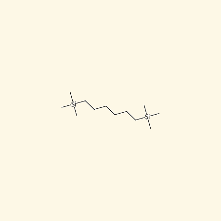 C[Si](C)(C)CCCCCC[Si](C)(C)C